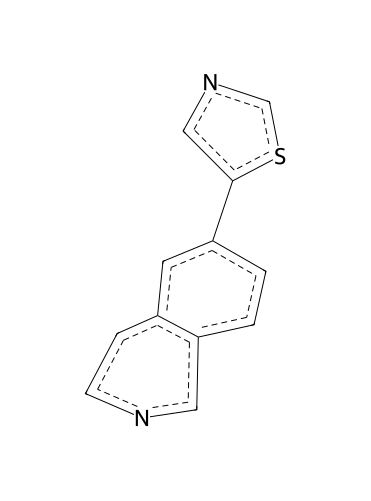 c1cc2cc(-c3cncs3)ccc2cn1